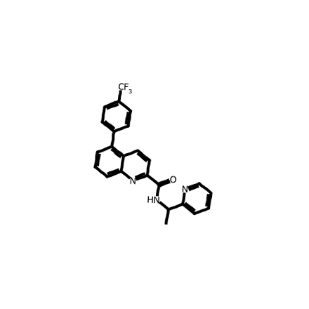 CC(NC(=O)c1ccc2c(-c3ccc(C(F)(F)F)cc3)cccc2n1)c1ccccn1